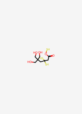 O=C(CC(S)(S)CC(CO)(CO)CO)OS